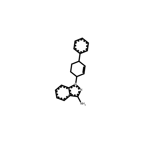 Nc1nn(C2C=CC(c3ccccc3)CC2)c2ccccc12